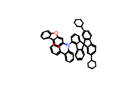 c1ccc(-c2ccccc2N(c2ccc3c(c2)oc2ccccc23)c2cccc3c2-c2ccccc2C32c3cc(C4CCCCC4)ccc3-c3ccc(C4CCCCC4)cc32)cc1